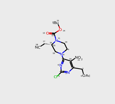 CC(=O)OCc1nc(Cl)nc(N2CCN(C(=O)OC(C)(C)C)[C@@H](CC#N)C2)c1[N+](=O)[O-]